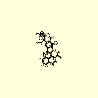 CC[C@@]1(OC(C)=O)C(=O)OCc2c1cc1n(c2=O)Cc2c-1nc1cccc3c1c2N(C(C)C)C=N3